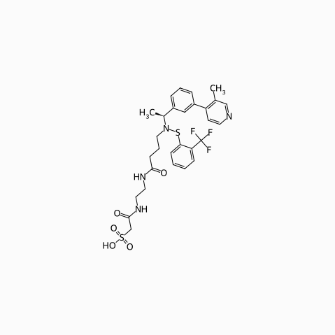 Cc1cnccc1-c1cccc([C@H](C)N(CCCC(=O)NCCNC(=O)CS(=O)(=O)O)Sc2ccccc2C(F)(F)F)c1